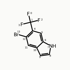 FC(F)(F)c1cc2[nH]ccc2cc1Br